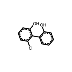 Oc1ccccc1-c1c(O)cccc1Cl